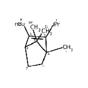 CCCCC1=C(C(C)C)C2(C)CCC1C2(C)C